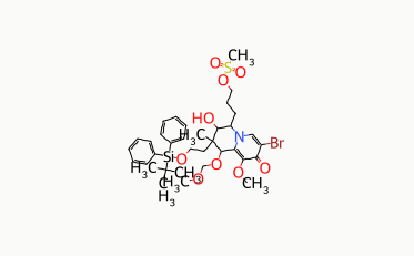 COCOC1c2c(OC)c(=O)c(Br)cn2C(CCCOS(C)(=O)=O)C(O)C1(C)CCO[Si](c1ccccc1)(c1ccccc1)C(C)(C)C